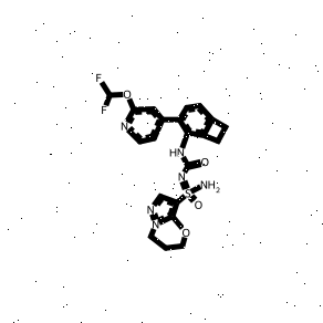 NS(=O)(=NC(=O)Nc1c(-c2ccnc(OC(F)F)c2)ccc2c1CC2)c1cnn2c1OCCC2